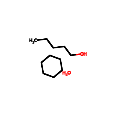 C1CCCCC1.CCCCCO.O